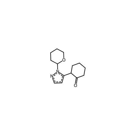 O=C1CCCCC1c1ccnn1C1CCCCO1